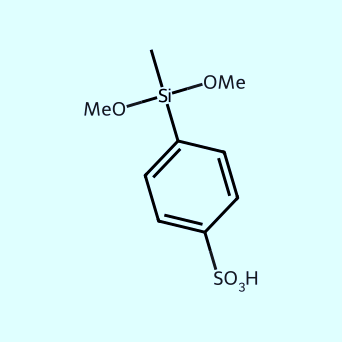 CO[Si](C)(OC)c1ccc(S(=O)(=O)O)cc1